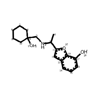 CC(NCC1(O)CCCCC1)c1cc2cccc(O)c2o1